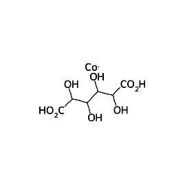 O=C(O)C(O)C(O)C(O)C(O)C(=O)O.[Co]